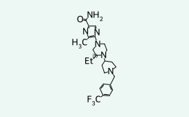 CC[C@H]1CN(c2ncc(C(N)=O)nc2C)CCN1C1CCN(Cc2ccc(C(F)(F)F)cc2)CC1